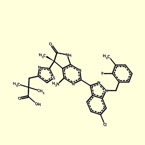 Cc1cccc(Cn2nc(-c3nc(N)c4c(n3)NC(=O)[C@@]4(C)c3nc(CC(C)(C)C(=O)O)cs3)c3ccc(Cl)cc32)c1F